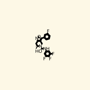 C[C@H]1Cc2noc(-c3cccc(F)c3)c2CN1C(O)Nc1cc(F)c(F)c(F)c1